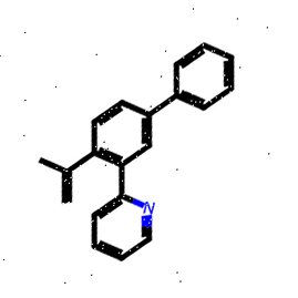 C=C(C)c1ccc(-c2ccccc2)cc1-c1ccccn1